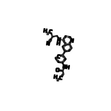 C=CC(=O)Nc1cccc(-c2ccc3nccc(NCC(C)C#N)c3c2)c1